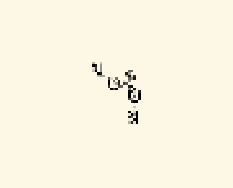 c1cc(C(=C2C3CC4CC(C3)CC2C4)c2ccc(OCCCCCCN3CCCC3)cc2)ccc1OCCCCCCN1CCCC1